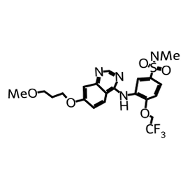 CNS(=O)(=O)c1ccc(OCC(F)(F)F)c(Nc2ncnc3cc(OCCCOC)ccc23)c1